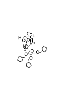 CC(C)(C)OC(=O)c1nsc([C@@H]2O[C@H](COCc3ccccc3)[C@@H](OCc3ccccc3)[C@H]2OCc2ccccc2)c1F